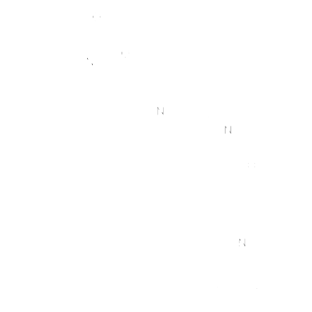 CCN1CC2(CCN(c3ccc(OC4CCN(C5CCC5)CC4)nc3)CC2)OC1=O